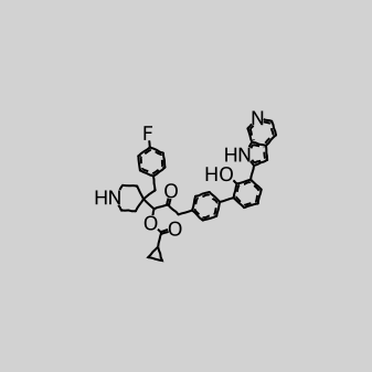 O=C(OC(C(=O)Cc1ccc(-c2cccc(-c3cc4ccncc4[nH]3)c2O)cc1)C1(Cc2ccc(F)cc2)CCNCC1)C1CC1